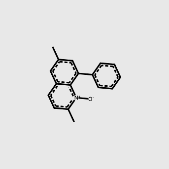 Cc1cc(-c2ccccc2)c2c(ccc(C)[n+]2[O-])c1